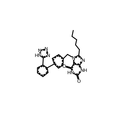 CCCCCc1nc2[nH]c(=O)[nH]c(=O)c2n1Cc1ccc(-c2ccccc2-c2nnn[nH]2)cc1